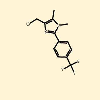 Cc1c(CCl)nc(-c2ccc(C(F)(F)F)cc2)n1C